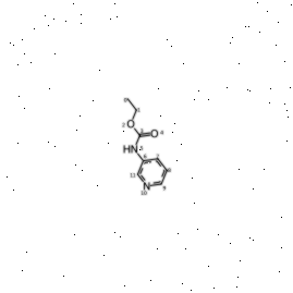 CCOC(=O)Nc1cccnc1